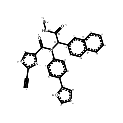 C#Cc1nc(C(=O)N(c2ccc(-c3cnco3)cc2)C(C(=O)NC(C)(C)C)c2ccc3ccccc3c2)cs1